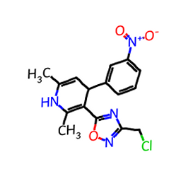 CC1=CC(c2cccc([N+](=O)[O-])c2)C(c2nc(CCl)no2)=C(C)N1